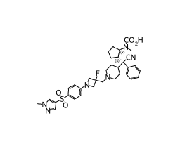 CN(C(=O)O)[C@@H]1CCC[C@H]1C(C#N)(c1ccccc1)C1CCN(CC2(F)CN(c3ccc(S(=O)(=O)c4cnn(C)c4)cc3)C2)CC1